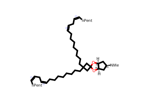 CCCCC/C=C\C/C=C\CCCCCCCCC1(CCCCCCCC/C=C\C/C=C\CCCCC)CC2(C1)O[C@H]1C[C@@H](NC)C[C@H]1O2